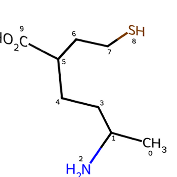 CC(N)CCC(CCS)C(=O)O